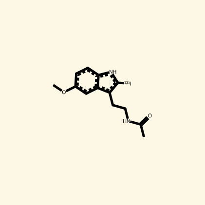 COc1ccc2[nH]c([125I])c(CCNC(C)=O)c2c1